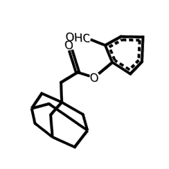 O=[C]c1ccccc1OC(=O)CC12CC3CC(CC(C3)C1)C2